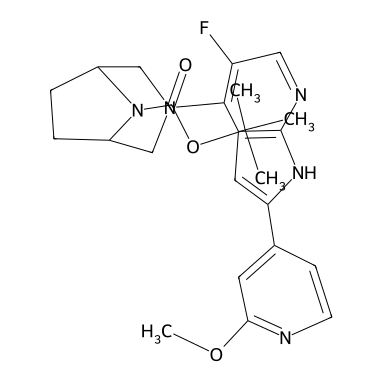 COc1cc(-c2cc3c(N4CC5CCC(C4)N5C(=O)OC(C)(C)C)c(F)cnc3[nH]2)ccn1